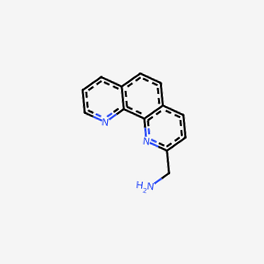 NCc1ccc2ccc3cccnc3c2n1